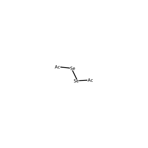 CC(=O)[Se][Se]C(C)=O